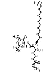 CCCCCCCCCCCCC#C[C@@H](SC[C@H](NC(=O)C(F)(F)F)C(=O)OC)[C@@H](O)CCCC(=O)OC